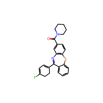 O=C(c1ccc2c(c1)N=C(C1=CC=C(F)CC1)c1ccccc1S2)N1CCCCC1